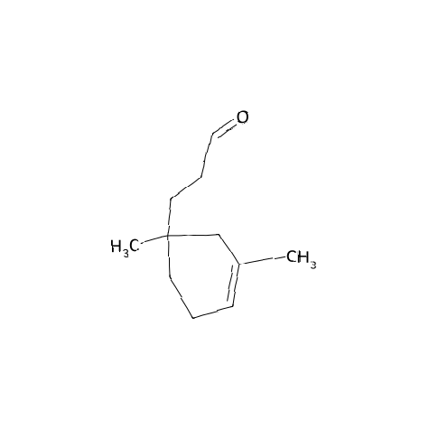 CC1=CCCC(C)(CCC=O)C1